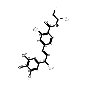 C[C@H](CI)NC(=O)c1ccc(/C=C/C(c2cc(Cl)c(Cl)c(Cl)c2)C(F)(F)F)cc1C(F)(F)F